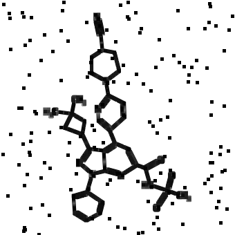 CC1(C)CC(c2nn(-c3ccccc3)c3nc(C(=O)NS(C)(=O)=O)cc(-c4ccc(N5CCC(C#N)CC5)nc4)c23)C1